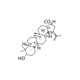 C=C(C)[C@@H]1CC[C@]2(C(=O)O)CC[C@]3(C)[C@H](CC[C@@H]4[C@@]5(C)CCC(O)C(C)(C)[C@@H]5CC[C@]43C)[C@@H]12